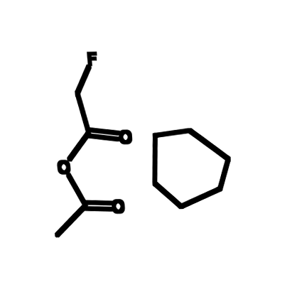 C1CCCCC1.CC(=O)OC(=O)CF